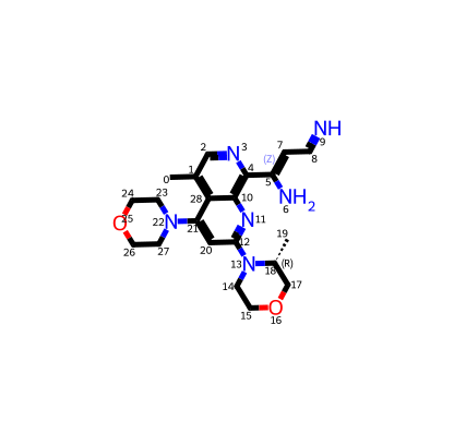 Cc1cnc(/C(N)=C/C=N)c2nc(N3CCOC[C@H]3C)cc(N3CCOCC3)c12